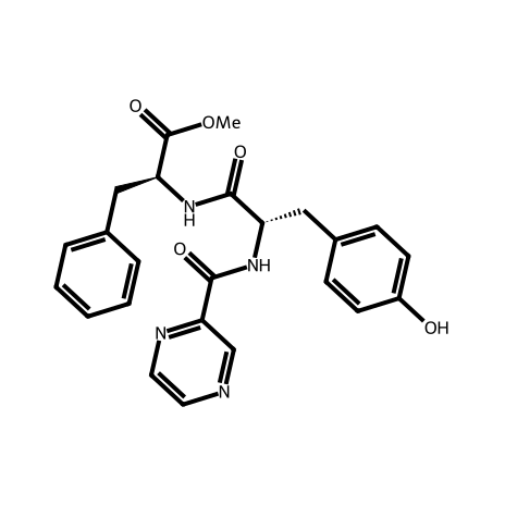 COC(=O)[C@H](Cc1ccccc1)NC(=O)[C@H](Cc1ccc(O)cc1)NC(=O)c1cnccn1